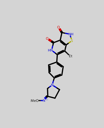 CCc1c(-c2ccc(N3CC/C(=N/OC)C3)cc2)[nH]c(=O)c2c(=O)[nH]sc12